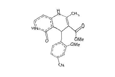 COC(=O)C1=C(C)Nc2cc[nH]c(=O)c2C1c1ccc(C#N)cc1OC